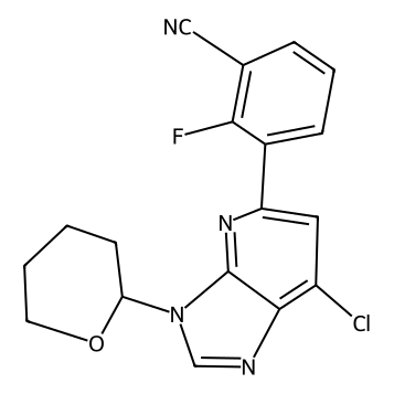 N#Cc1cccc(-c2cc(Cl)c3ncn(C4CCCCO4)c3n2)c1F